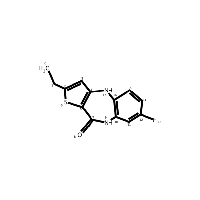 CCc1cc2c(s1)C(=O)Nc1cc(F)ccc1N2